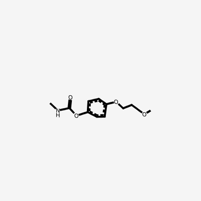 CNC(=O)Oc1ccc(OCCOC)cc1